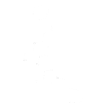 CC(C)C[C@H](NC(=O)c1ccc2ccccc2c1)C(=O)NC1CN(Cc2ccccc2)CC1=O